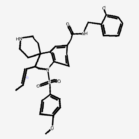 C/C=C/C1N(S(=O)(=O)c2ccc(OC)cc2)c2ccc(C(=O)NCc3ccccc3Cl)cc2C12CCNCC2